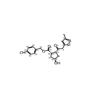 Cc1cc(CC(=O)N2C[C@@H](O)C[C@H]2C(=O)OCc2ccc(Cl)cc2)on1